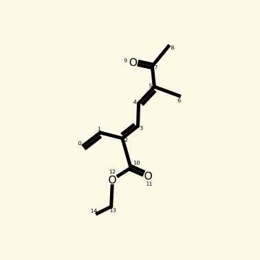 C=C/C(=C\C=C(/C)C(C)=O)C(=O)OCC